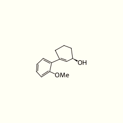 COc1ccccc1C1=C[C@H](O)CCC1